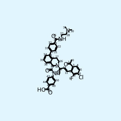 CC(=O)c1ccc(Cl)c(F)c1C=CC(=O)N1CCc2c(-c3ccc(C(=O)NCCN(C)C)cc3)cccc2[C@H]1C(=O)Nc1ccc(C(=O)O)cc1